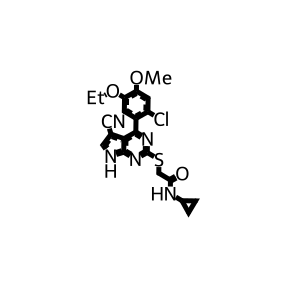 CCOc1cc(-c2nc(SCC(=O)NC3CC3)nc3[nH]cc(C#N)c23)c(Cl)cc1OC